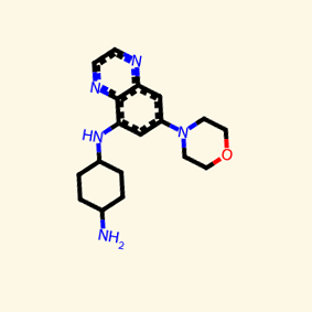 NC1CCC(Nc2cc(N3CCOCC3)cc3nccnc23)CC1